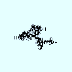 C\C=C(Cl)/C=C1\C(=N\CCCS(=O)(=O)O)N=C(/C=C/C(=C/C=C2/N(CCCS(=O)(=O)O)c3ccc(S(=O)(=O)O)cc3C2(C)C)c2ccc(C(=O)O)cc2)C1(C)C